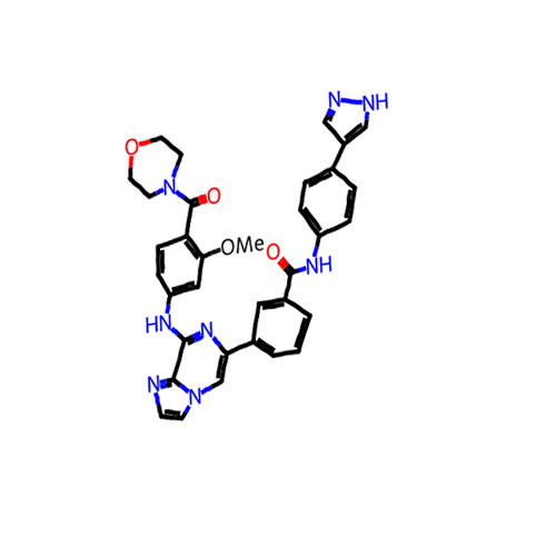 COc1cc(Nc2nc(-c3cccc(C(=O)Nc4ccc(-c5cn[nH]c5)cc4)c3)cn3ccnc23)ccc1C(=O)N1CCOCC1